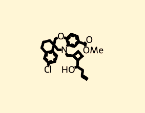 C=CCC(O)C1CCC1CN1CC2(CCCc3cc(Cl)ccc32)COc2ccc(C(=O)OC)cc21